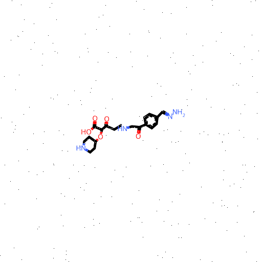 NN=Cc1ccc(C(=O)CNCCC(=O)C(OC2CCNCC2)C(=O)O)cc1